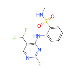 CNS(=O)(=O)c1ccccc1Nc1nc(Cl)ncc1C(F)F